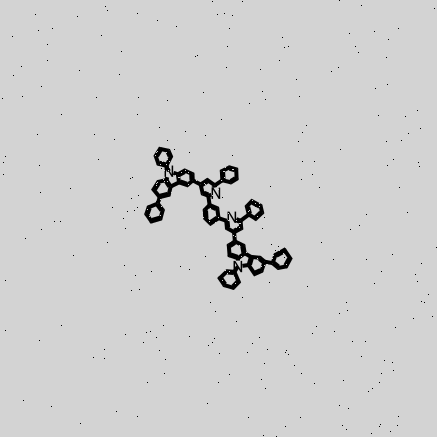 c1ccc(-c2ccc3c(c2)c2cc(-c4cc(-c5ccccc5)nc(-c5cccc(-c6cc(-c7ccc8c(c7)c7cc(-c9ccccc9)ccc7n8-c7ccccc7)cc(-c7ccccc7)n6)c5)c4)ccc2n3-c2ccccc2)cc1